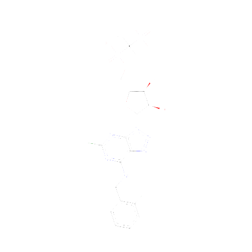 CC(C)(P(=O)(O)O)P(=O)(O)OC[C@H]1O[C@@H](n2nnc3c(NCc4ccccc4Cl)nc(Cl)nc32)[C@H](O)[C@@H]1O